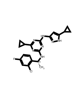 C[C@@H](Nc1nc(Nc2cc(C3CC3)[nH]n2)nc(C2CC2)n1)c1ccc(F)cc1Cl